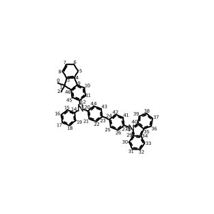 CC1(C)C2=C(CCC=C2)c2ccc(N(c3ccccc3)c3ccc(-c4ccc(-n5c6ccccc6c6ccccc65)cc4)cc3)cc21